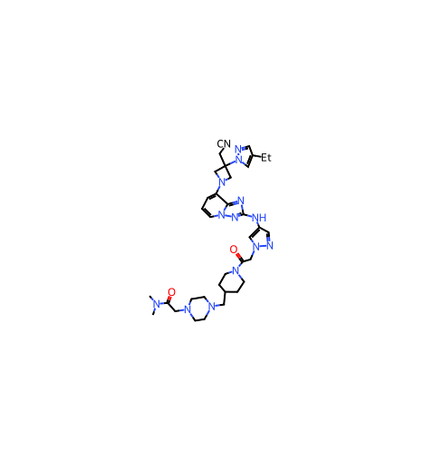 CCc1cnn(C2(CC#N)CN(c3cccn4nc(Nc5cnn(CC(=O)N6CCC(CN7CCN(CC(=O)N(C)C)CC7)CC6)c5)nc34)C2)c1